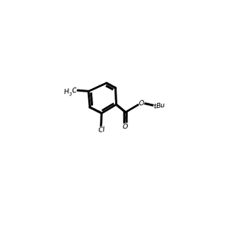 Cc1ccc(C(=O)OC(C)(C)C)c(Cl)c1